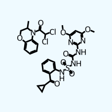 CC1COc2ccccc2N1C(=O)C(Cl)Cl.COc1cc(OC)nc(NC(=O)NS(=O)(=O)Nc2ccccc2C(=O)C2CC2)n1